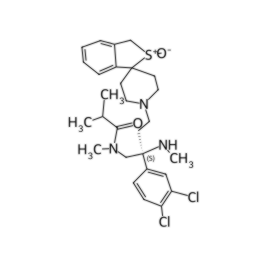 CN[C@](CCN1CCC2(CC1)c1ccccc1C[S+]2[O-])(CN(C)C(=O)C(C)C)c1ccc(Cl)c(Cl)c1